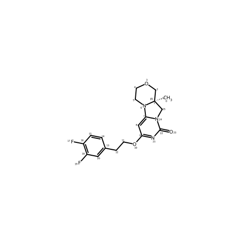 C[C@@]12COCCN1c1cc(OCCc3ccc(F)c(F)c3)nc(=O)n1C2